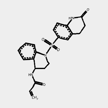 C=CC(=O)NC1CCN(S(=O)(=O)c2ccc3c(c2)CCC(=O)N3)c2ccccc21